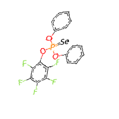 Fc1c(F)c(F)c(OP(=[Se])(Oc2ccccc2)Oc2ccccc2)c(F)c1F